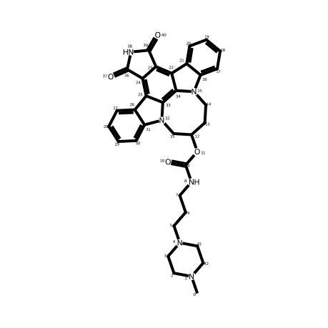 CN1CCN(CCCNC(=O)OC2CCn3c4ccccc4c4c5c(c6c7ccccc7n(c6c43)C2)C(=O)NC5=O)CC1